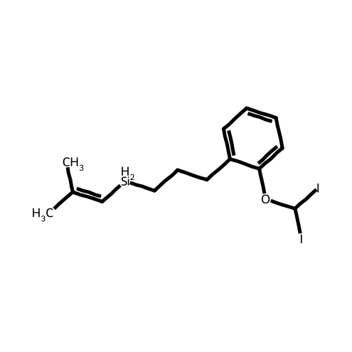 CC(C)=C[SiH2]CCCc1ccccc1OC(I)I